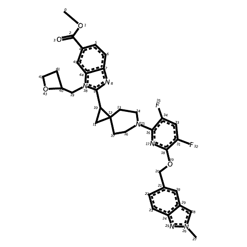 COC(=O)c1ccc2nc(C3CC34CCN(c3nc(OCc5ccc6nn(C)cc6c5)c(F)cc3F)CC4)n(CC3CCO3)c2c1